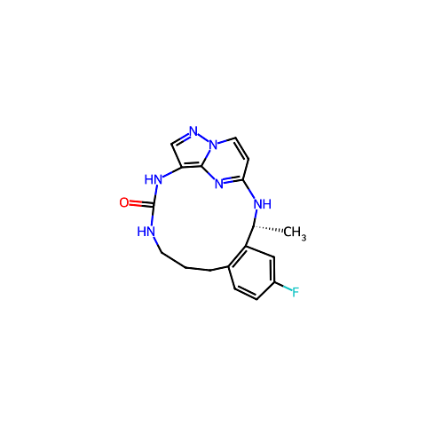 C[C@H]1Nc2ccn3ncc(c3n2)NC(=O)NCCCc2ccc(F)cc21